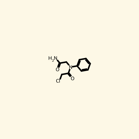 NC(=O)CN(C(=O)CCl)c1ccccc1